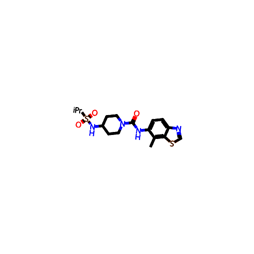 Cc1c(NC(=O)N2CCC(NS(=O)(=O)C(C)C)CC2)ccc2ncsc12